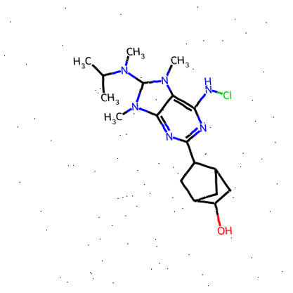 CC(C)N(C)C1N(C)c2nc(C3CC4CC3CC4O)nc(NCl)c2N1C